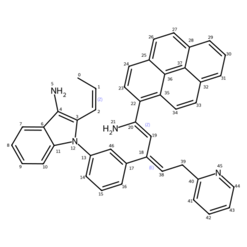 C/C=C\c1c(N)c2ccccc2n1-c1cccc(C(/C=C(\N)c2ccc3ccc4cccc5ccc2c3c45)=C/Cc2ccccn2)c1